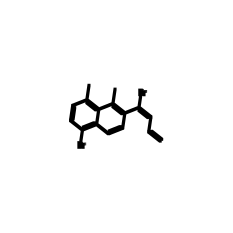 C=C/C=C(/Br)c1ccc2c(Br)ccc(C)c2c1C